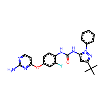 CC(C)(C)c1cc(NC(=O)Nc2ccc(Oc3ccnc(N)n3)cc2F)n(-c2ccccc2)n1